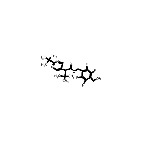 CC(C)(C)c1ncc(C(C(=S)OCc2c(F)c(F)c(CO)c(F)c2F)C(C)(C)C)cn1